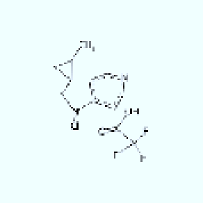 CC1CC12CN(Cl)c1ccncc12.O=C(O)C(F)(F)F